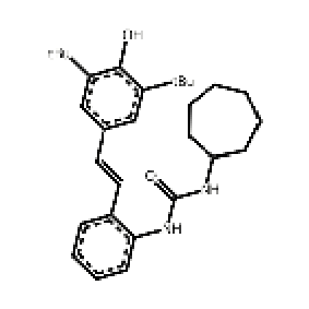 CC(C)(C)c1cc(/C=C/c2ccccc2NC(=O)NC2CCCCCC2)cc(C(C)(C)C)c1O